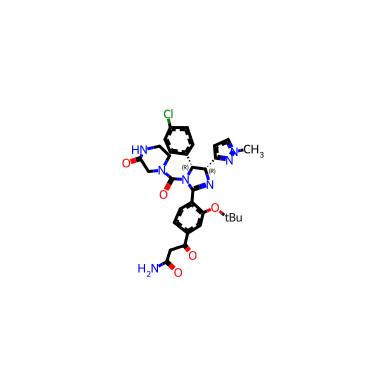 Cn1ccc([C@@H]2N=C(c3ccc(C(=O)CC(N)=O)cc3OC(C)(C)C)N(C(=O)N3CCNC(=O)C3)[C@@H]2c2ccc(Cl)cc2)n1